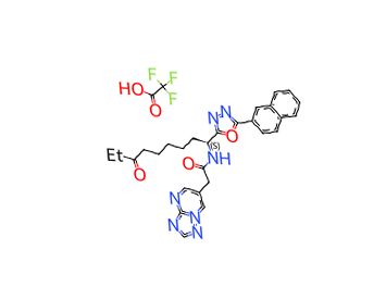 CCC(=O)CCCCC[C@H](NC(=O)Cc1cnc2ncnn2c1)c1nnc(-c2ccc3ccccc3c2)o1.O=C(O)C(F)(F)F